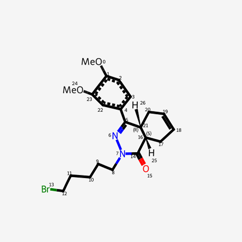 COc1ccc(C2=NN(CCCCCBr)C(=O)[C@H]3CC=CC[C@@H]23)cc1OC